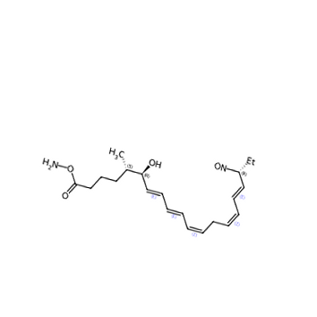 CC[C@H](/C=C/C=C\C\C=C/C=C/C=C/[C@H](O)[C@@H](C)CCCC(=O)ON)N=O